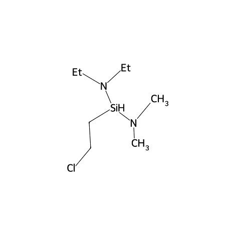 CCN(CC)[SiH](CCCl)N(C)C